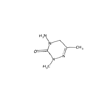 CC1=NN(C)C(=O)N(N)C1